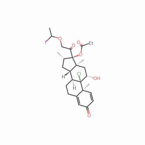 CCC(=O)O[C@]1(C(=O)COC(C)I)[C@@H](C)C[C@H]2[C@@H]3CCC4=CC(=O)C=C[C@]4(C)[C@@]3(Cl)[C@@H](O)C[C@@]21C